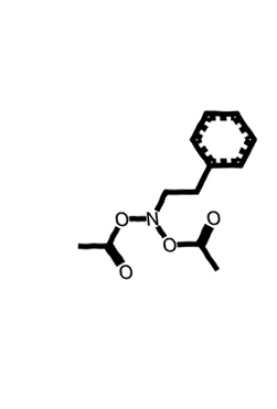 CC(=O)ON(CCc1ccccc1)OC(C)=O